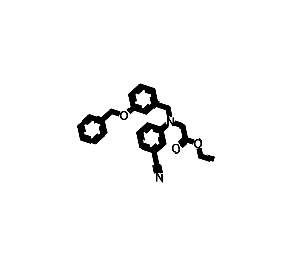 CCOC(=O)CN(Cc1cccc(OCc2ccccc2)c1)c1cccc(C#N)c1